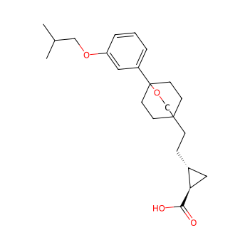 CC(C)COc1cccc(C23CCC(CC[C@@H]4C[C@H]4C(=O)O)(CC2)CO3)c1